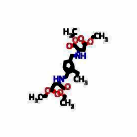 CCOC(=O)CC(NCC1CC2CC1C(CC)C2CNC(CC(=O)OCC)C(=O)OCC)C(=O)OCC